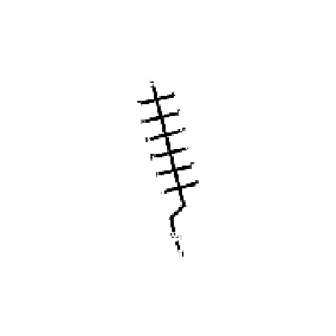 FC(F)(F)C(F)(F)C(F)(F)C(F)(F)C(F)(F)C(F)(F)C[CH2][Mg][Cl]